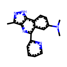 Cc1n[nH]c2c1nc(-c1ccccn1)c1cc(N(C)C)ccc12